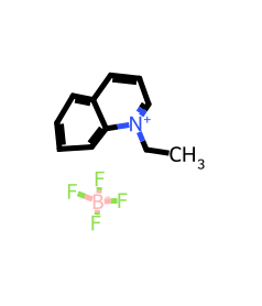 CC[n+]1cccc2ccccc21.F[B-](F)(F)F